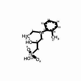 CCN(CC(O)CS(=O)(=O)O)c1ccccc1C